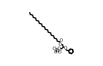 CCCCCCCCCCCCCCCCCCCCC(=O)OCC(COP(=O)(Cl)Cl)OCc1ccccc1